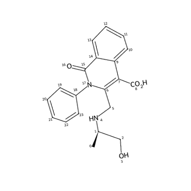 C[C@H](CO)NCc1c(C(=O)O)c2ccccc2c(=O)n1-c1ccccc1